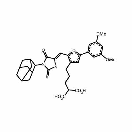 COc1cc(OC)cc(-c2cc(CCCC(C(=O)O)C(=O)O)c(C=C3SC(=S)N(C4C5CC6CC(C5)CC4C6)C3=O)o2)c1